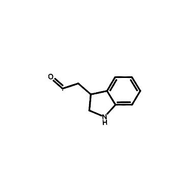 O=[C]CC1CNc2ccccc21